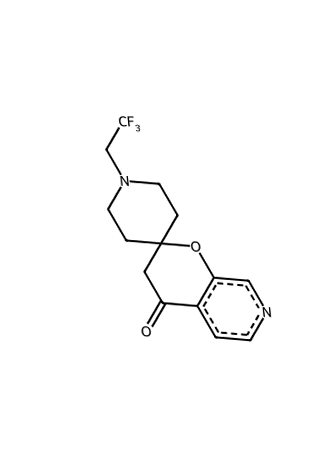 O=C1CC2(CCN(CC(F)(F)F)CC2)Oc2cnccc21